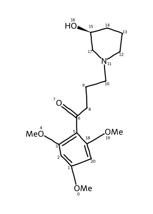 COc1cc(OC)c(C(=O)CCCN2CCC[C@H](O)C2)c(OC)c1